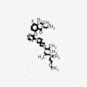 CCN(C(=O)c1cc(F)ccc1Oc1nncnc1N1CCC2(C1)CN([C@@H](C[C@@H](C)CN(C)CCOC)C(C)C)C2)C(C)C